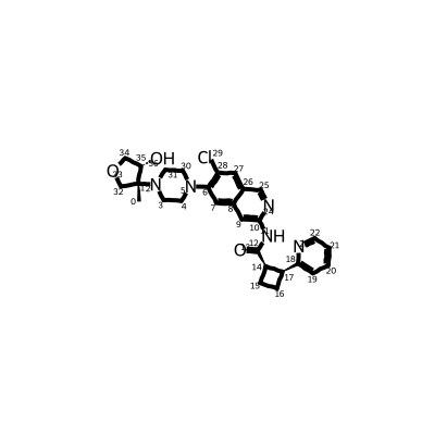 C[C@@]1(N2CCN(c3cc4cc(NC(=O)[C@@H]5CC[C@@H]5c5ccccn5)ncc4cc3Cl)CC2)COC[C@@H]1O